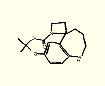 CC(C)(C)OC(=O)N1CCC12CCCNc1ccc(Cl)cc12